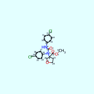 COC(=O)C1(N(C(=O)Nc2ccc(Cl)cc2)c2ccc(Cl)cc2)CCOC1